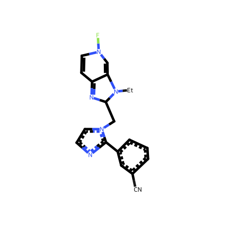 CCN1C2=CN(F)C=CC2=NC1Cn1ccnc1-c1cccc(C#N)c1